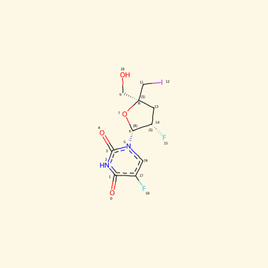 O=c1[nH]c(=O)n([C@@H]2O[C@@](CO)(CI)C[C@@H]2F)cc1F